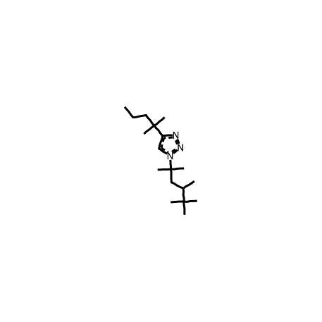 CCCC(C)(C)c1cn(C(C)(C)CC(C)C(C)(C)C)nn1